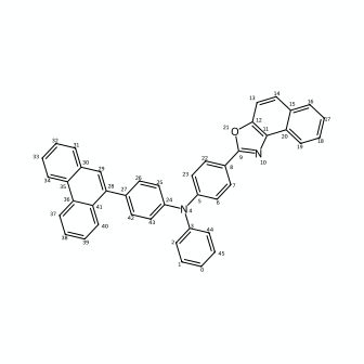 c1ccc(N(c2ccc(-c3nc4c(ccc5ccccc54)o3)cc2)c2ccc(-c3cc4ccccc4c4ccccc34)cc2)cc1